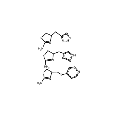 NC1=NC(CSc2ccncc2)CS1.NC1=NC(Cc2c[nH]nn2)CS1.NC1=NC(Cc2cncs2)CS1